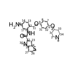 CN1CCC(Oc2ccc(OCc3ccc(N)cc3NC(=O)c3cc4sccc4n3C)cc2)CC1